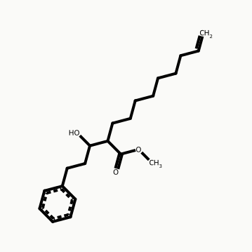 C=CCCCCCCCC(C(=O)OC)C(O)CCc1ccccc1